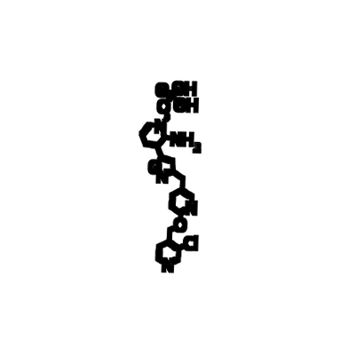 NC1C(c2cc(Cc3ccc(OCc4ccncc4Cl)nc3)no2)=CC=CN1COP(=O)(O)O